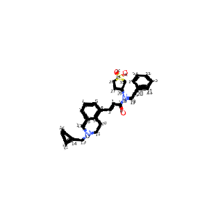 O=C(/C=C/c1cccc2c1CCN(CC1CC1)C2)N(Cc1ccccc1)C1CCS(=O)(=O)C1